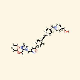 CC(OC1CCCCO1)c1nccn1Cc1cc(-c2ccc(C#Cc3ccc(CN4CCC(CO)CC4)cc3)cc2)on1